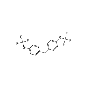 FC(F)(F)Sc1ccc(Cc2ccc(SC(F)(F)F)cc2)cc1